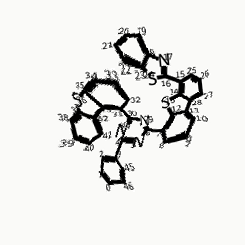 c1ccc(-c2nc(-c3cccc4c3sc3c(-c5nc6ccccc6s5)cccc34)nc(-c3cccc4sc5ccccc5c34)n2)cc1